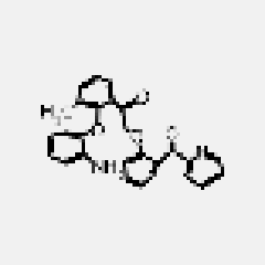 Cc1cccc(C(=O)COc2ccccc2C(=O)c2ccccn2)c1Oc1ccccc1N